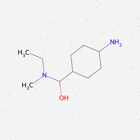 CCN(C)C(O)C1CCC(N)CC1